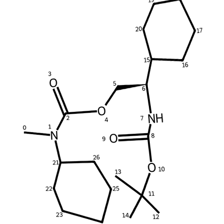 CN(C(=O)OC[C@H](NC(=O)OC(C)(C)C)C1CCCCC1)C1CCCCC1